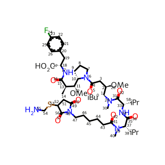 CC[C@H](C)[C@@H]([C@@H](CC(=O)N1CCC[C@H]1[C@H](OC)[C@@H](C)C(=O)N[C@@H](Cc1ccc(F)cc1)C(=O)O)OC)N(C)C(=O)[C@@H](NC(=O)[C@H](C(C)C)N(C)C(=O)CCCCCN1C(=O)CC(SCN)C1=O)C(C)C